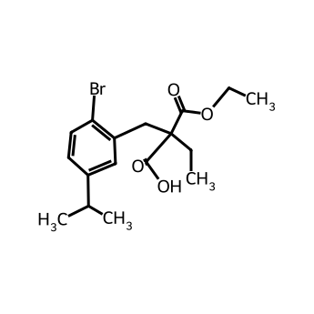 CCOC(=O)C(CC)(Cc1cc(C(C)C)ccc1Br)C(=O)O